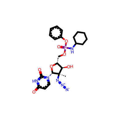 C[C@@]1(N=[N+]=[N-])[C@H](O)[C@@H](COP(=O)(NC2CCCCC2)Oc2ccccc2)O[C@H]1n1ccc(=O)[nH]c1=O